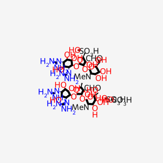 CN[C@@H]1[C@H](O[C@H]2[C@H](O[C@@H]3[C@@H](O)[C@H](O)[C@@H](N=C(N)N)[C@H](O)[C@H]3N=C(N)N)O[C@@H](C)[C@]2(O)C=O)O[C@@H](CO)[C@H](O)[C@H]1O.CN[C@@H]1[C@H](O[C@H]2[C@H](O[C@@H]3[C@@H](O)[C@H](O)[C@@H](N=C(N)N)[C@H](O)[C@H]3N=C(N)N)O[C@@H](C)[C@]2(O)C=O)O[C@@H](CO)[C@H](O)[C@H]1O.O=S(=O)(O)O.O=S(=O)(O)O.O=S(=O)(O)O